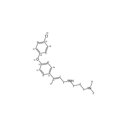 CC(=CCNCCCN(C)C)c1ccc(Oc2ccc(Cl)cc2)cc1